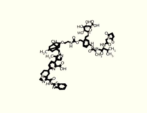 Cc1c(-c2ccc(C3CCn4cnc(C(=O)Nc5nc6ccccc6s5)c4C3)nc2C(=O)O)cnn1CC12CC3(C)CC(C)(C1)CC(OCCNC(=O)OCc1ccc(NC(=O)[C@H](C)NC(=O)[C@@H](NC(=O)CN4C(=O)C=CC4=O)C(C)C)cc1CC[C@@H]1O[C@H](C(=O)O)[C@@H](O)[C@H](O)[C@H]1O)(C3)C2